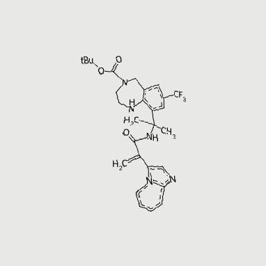 C=C(C(=O)NC(C)(C)c1cc(C(F)(F)F)cc2c1NCCN(C(=O)OC(C)(C)C)C2)c1cnc2ccccn12